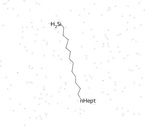 CCCCCCCCCCCCCCCCCCC[SiH2]